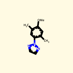 COc1cc(C)c(-n2nccn2)cc1C